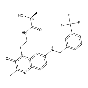 Cc1nc2ccc(NCc3cccc(C(F)(F)F)c3)cc2n(CCNC(=O)[C@H](C)O)c1=O